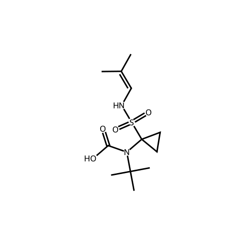 CC(C)=CNS(=O)(=O)C1(N(C(=O)O)C(C)(C)C)CC1